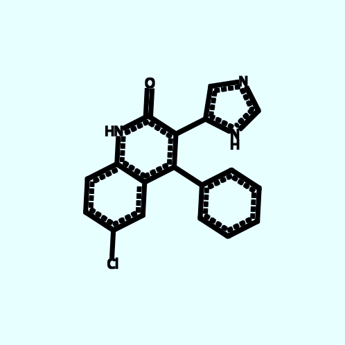 O=c1[nH]c2ccc(Cl)cc2c(-c2ccccc2)c1-c1cnc[nH]1